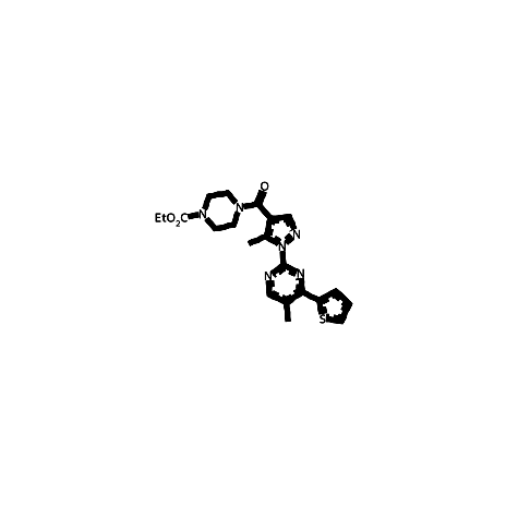 CCOC(=O)N1CCN(C(=O)c2cnn(-c3ncc(C)c(-c4cccs4)n3)c2C)CC1